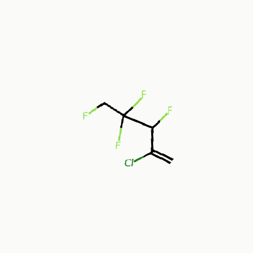 C=C(Cl)C(F)C(F)(F)CF